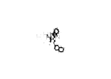 NC(=S)N(CCc1ccc2ccccc2c1)c1nc2ccccc2[nH]1